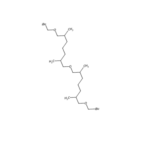 CCC(C)COCC(C)CCCC(C)COCC(C)CCCC(C)COCC(C)CC